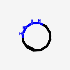 C1=CCNNNNCCCCC1